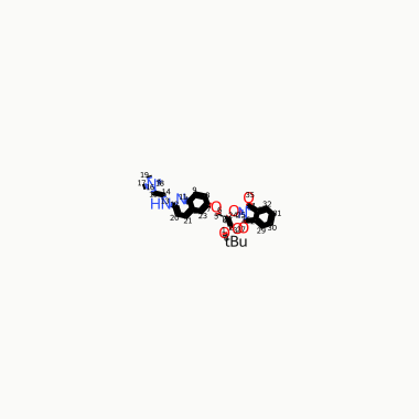 CC(C)(C)OC(=O)[C@H](COc1ccc2nc(NCC[N+](C)(C)C)ccc2c1)ON1C(=O)c2ccccc2C1=O